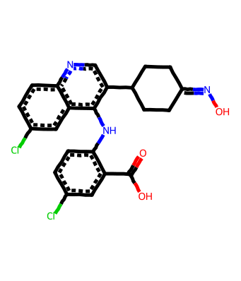 O=C(O)c1cc(Cl)ccc1Nc1c(C2CCC(=NO)CC2)cnc2ccc(Cl)cc12